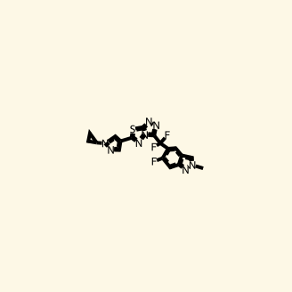 Cn1cc2cc(C(F)(F)c3nnc4sc(-c5cnn(C6CC6)c5)nn34)c(F)cc2n1